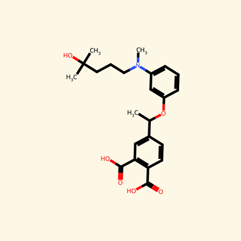 CC(Oc1cccc(N(C)CCCC(C)(C)O)c1)c1ccc(C(=O)O)c(C(=O)O)c1